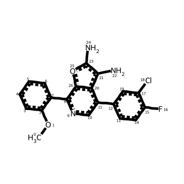 COc1ccccc1-c1ncc(-c2ccc(F)c(Cl)c2)c2c(N)c(N)oc12